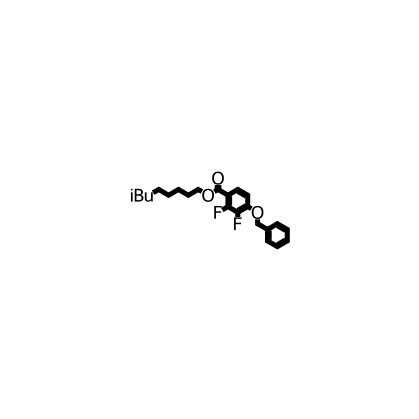 CCC(C)CCCCCOC(=O)c1ccc(OCc2ccccc2)c(F)c1F